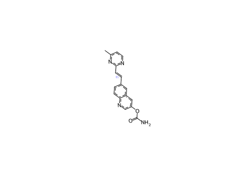 Cc1ccnc(/C=C/c2ccc3ncc(OC(N)=O)cc3c2)n1